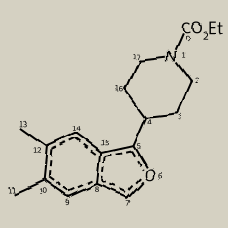 CCOC(=O)N1CCC(c2occ3cc(C)c(C)cc23)CC1